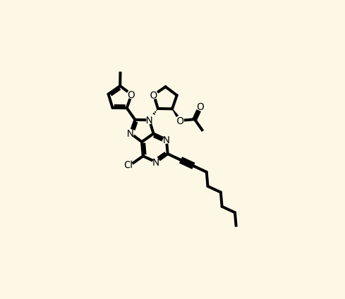 CCCCCCC#Cc1nc(Cl)c2nc(-c3ccc(C)o3)n([C@@H]3OCC[C@H]3OC(C)=O)c2n1